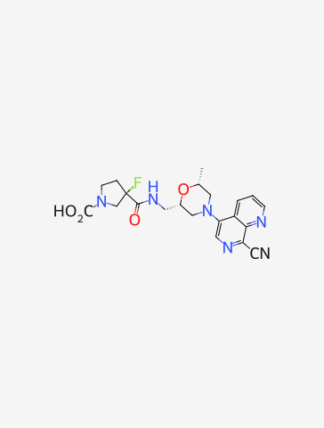 C[C@@H]1CN(c2cnc(C#N)c3ncccc23)C[C@H](CNC(=O)[C@@]2(F)CCN(C(=O)O)C2)O1